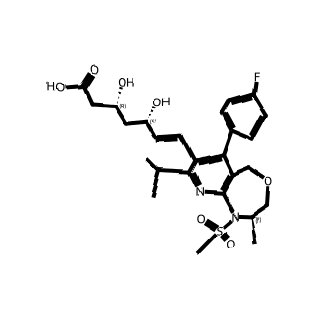 CC(C)c1nc2c(c(-c3ccc(F)cc3)c1C=C[C@@H](O)C[C@@H](O)CC(=O)O)COC[C@@H](C)N2S(C)(=O)=O